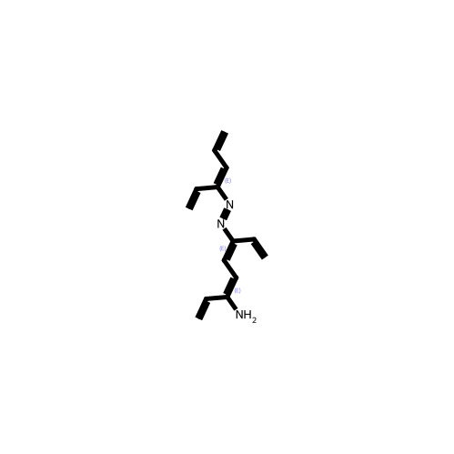 C=C/C=C(\C=C)N=N/C(C=C)=C/C=C(/N)C=C